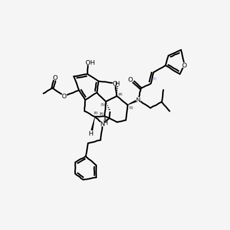 CC(=O)Oc1cc(O)c2c3c1C[C@@H]1[C@@H]4CC[C@H](N(CC(C)C)C(=O)/C=C/c5ccoc5)[C@H](O2)[C@]34CCN1CCc1ccccc1